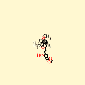 COc1ccc(CC(CCC2CC3C(CC34OCCO4)C2O)O[Si](C)(C)C(C)(C)C)cc1